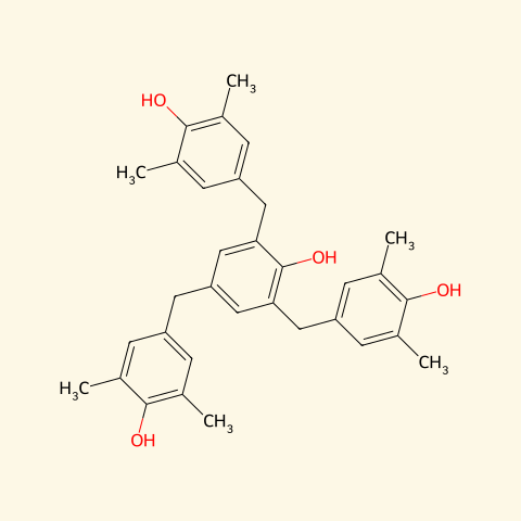 Cc1cc(Cc2cc(Cc3cc(C)c(O)c(C)c3)c(O)c(Cc3cc(C)c(O)c(C)c3)c2)cc(C)c1O